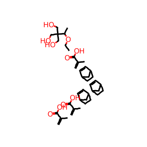 C1=CC2CCC1C2.C1=CC2CCC1C2.C1=CC2CCC1C2.C=C(C)C(=O)O.C=C(C)C(=O)O.C=C(C)C(=O)O.CCOC(C)C(CO)(CO)CO